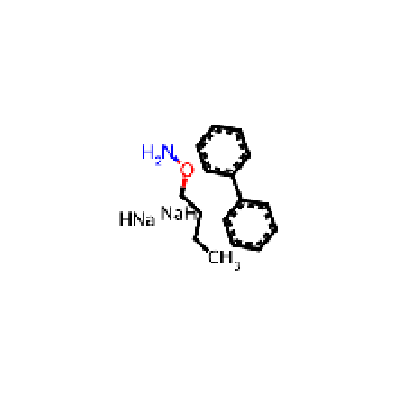 CCCCON.[NaH].[NaH].c1ccc(-c2ccccc2)cc1